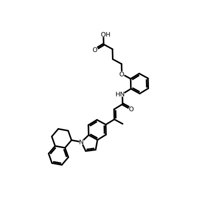 CC(=CC(=O)Nc1ccccc1OCCCC(=O)O)c1ccc2c(ccn2C2CCCc3ccccc32)c1